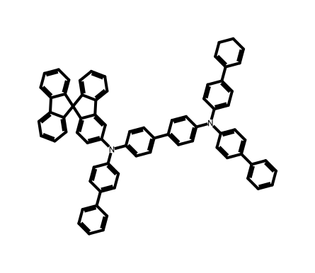 C1=CC(c2ccc(N(c3ccc(-c4ccccc4)cc3)c3ccc(-c4ccc(N(c5ccc(-c6ccccc6)cc5)c5ccc6c(c5)-c5ccccc5C65c6ccccc6-c6ccccc65)cc4)cc3)cc2)=CCC1